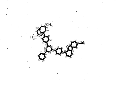 C[C@@H]1C[C@@H]2C[C@H](C)CC(c3ccc(-c4nc(-c5ccccc5)nc(-c5ccc(-c6cccc7c6oc6ccc(C#N)cc67)cc5)n4)cc3)(C1)C2